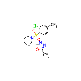 O=S(=O)(c1ccc(C(F)(F)F)cc1Cl)N1CCCC[C@H]1c1nnc(C(F)(F)F)o1